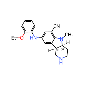 CCOc1ccccc1Nc1cc(C#N)c2c(c1)[C@@H]1CNCC[C@@H]1N2C